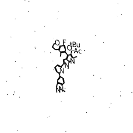 CC(=O)[C@@H](OC(C)(C)C)c1c(C)nc2c(cc(-c3cccc(-c4ccc5c(cnn5C)c4)n3)n2C)c1-c1cc(F)c2c(c1C)CCCO2